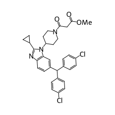 COC(=O)CC(=O)N1CCC(n2c(C3CC3)nc3ccc(C(c4ccc(Cl)cc4)c4ccc(Cl)cc4)cc32)CC1